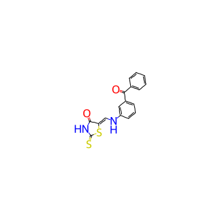 O=C1NC(=S)S/C1=C\Nc1cccc(C(=O)c2ccccc2)c1